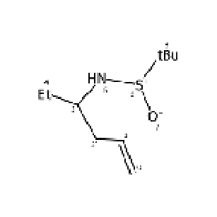 C=C[CH]C(CC)N[S+]([O-])C(C)(C)C